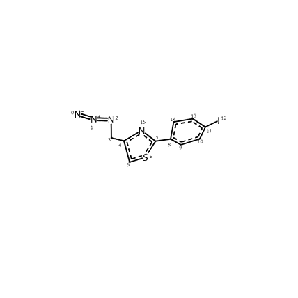 [N-]=[N+]=NCc1csc(-c2ccc(I)cc2)n1